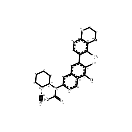 Cc1c(-c2cc3cc(N(C(=O)O)[C@@H]4CCCC[C@H]4C#N)ncc3c(Cl)c2F)cnc2c1NCCO2